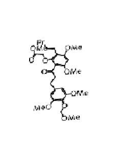 COCOc1c(OC)cc(CCC(=O)c2c(OC)cc(OC)c(CCC(C)C)c2OCC(=O)OC)cc1OC